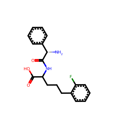 N[C@H](C(=O)NC(CCCc1ccccc1F)C(=O)O)c1ccccc1